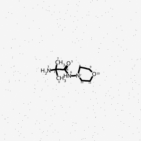 CC(C)(N)C(=O)NN1CCOCC1